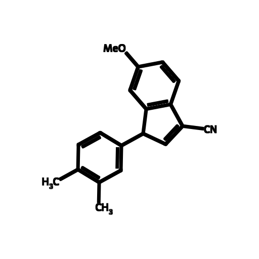 COc1ccc2c(c1)C(c1ccc(C)c(C)c1)C=C2C#N